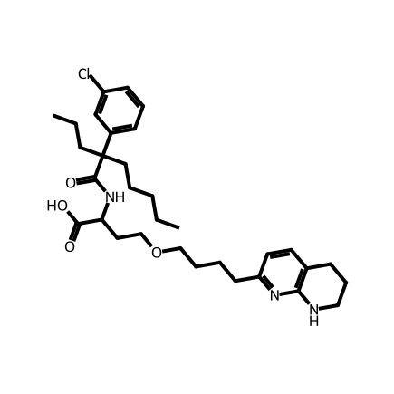 CCCCCC(CCC)(C(=O)NC(CCOCCCCc1ccc2c(n1)NCCC2)C(=O)O)c1cccc(Cl)c1